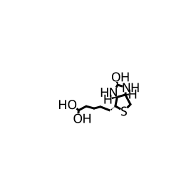 OC(O)CCCC[C@H]1SC[C@H]2N[C@H](O)N[C@H]21